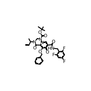 C=CC(C)N1CN(C(=O)OC(C)(C)C)n2cc(C(=O)NCc3c(F)cc(F)cc3F)c(=O)c(OCc3ccccc3)c2C1=O